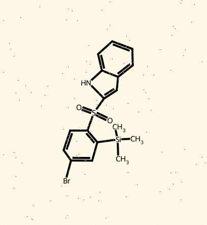 C[Si](C)(C)c1cc(Br)ccc1S(=O)(=O)c1cc2ccccc2[nH]1